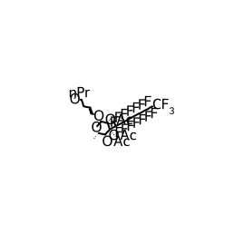 CCCOCCC=CO[C@@H]1O[C@@H](C)[C@H](OC(C)=O)[C@](OC(C)=O)(C(F)(F)C(F)(F)C(F)(F)C(F)(F)C(F)(F)C(F)(F)C(F)(F)C(F)(F)F)[C@H]1OC(C)=O